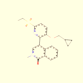 CCS(=O)(=O)c1ccc(OCC2CC2)c(-c2cn(C)c(=O)c3ccccc23)n1